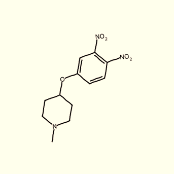 CN1CCC(Oc2ccc([N+](=O)[O-])c([N+](=O)[O-])c2)CC1